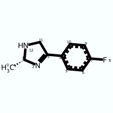 C[C@H]1N=C(c2ccc(F)cc2)CN1